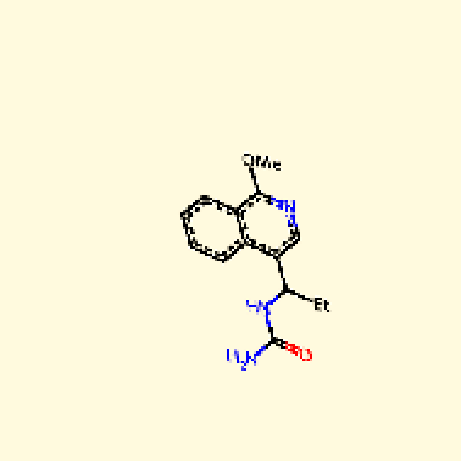 CCC(NC(N)=O)c1cnc(OC)c2ccccc12